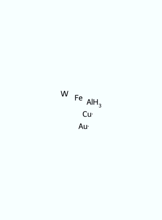 [AlH3].[Au].[Cu].[Fe].[W]